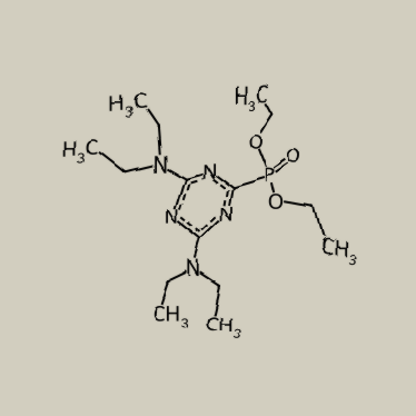 CCOP(=O)(OCC)c1nc(N(CC)CC)nc(N(CC)CC)n1